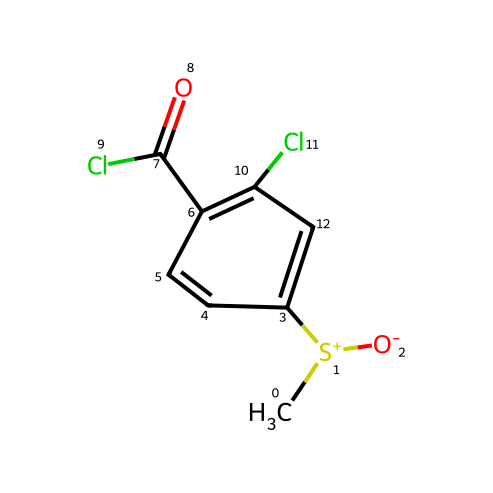 C[S+]([O-])c1ccc(C(=O)Cl)c(Cl)c1